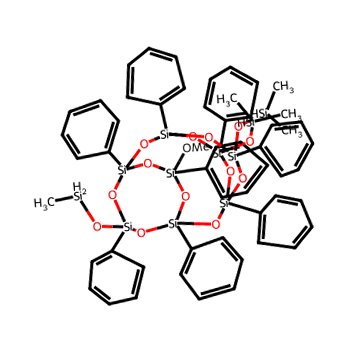 CO[Si]1(c2ccccc2)O[Si]2(c3ccccc3)O[Si](O[SiH2]C)(c3ccccc3)O[Si](c3ccccc3)(O1)O[Si]1(c3ccccc3)O[Si](O[SiH](C)C)(c3ccccc3)O[Si](c3ccccc3)(O[Si](O[SiH](C)C)(c3ccccc3)O1)O2